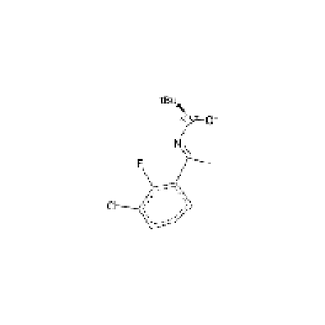 CC(=N[S@+]([O-])C(C)(C)C)c1cccc(Cl)c1F